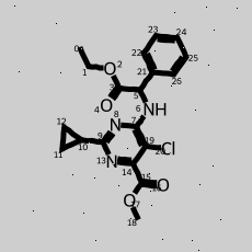 CCOC(=O)C(Nc1nc(C2CC2)nc(C(=O)OC)c1Cl)c1ccccc1